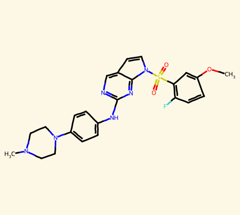 COc1ccc(F)c(S(=O)(=O)n2ccc3cnc(Nc4ccc(N5CCN(C)CC5)cc4)nc32)c1